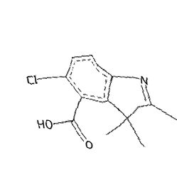 CC1=Nc2ccc(Cl)c(C(=O)O)c2C1(C)C